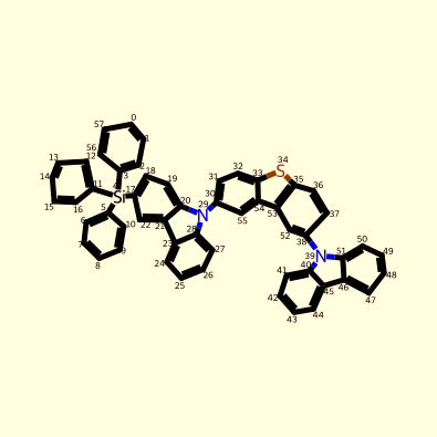 c1ccc([Si](c2ccccc2)(c2ccccc2)c2ccc3c(c2)c2ccccc2n3-c2ccc3sc4ccc(-n5c6ccccc6c6ccccc65)cc4c3c2)cc1